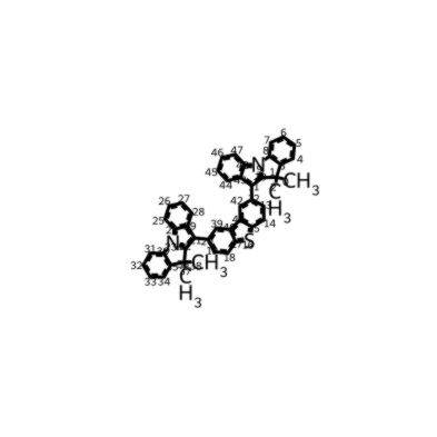 CC1(C)c2ccccc2-n2c1c(-c1ccc3sc4ccc(-c5c6n(c7ccccc57)-c5ccccc5C6(C)C)cc4c3c1)c1ccccc12